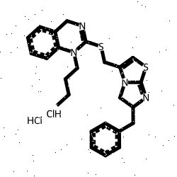 CCCCN1C(SCC2=CSC3=NC(Cc4ccccc4)CN23)=NCc2ccccc21.Cl.Cl